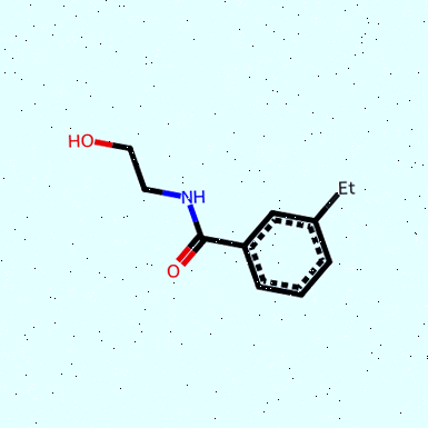 CCc1cccc(C(=O)NCCO)c1